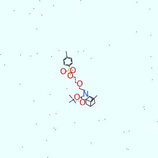 Cc1ccc(S(=O)(=O)OCCOCCN(C(=O)OC(C)(C)C)C2=C3C4CC(C)(C2)CC3(C)C4)cc1